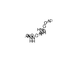 Cc1cc(NC(=O)Nc2ccc(-c3cc(NC(=O)c4ccc(OCCN5CCCC5)cc4)[nH]n3)cc2)no1